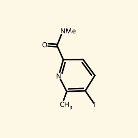 CNC(=O)c1ccc(I)c(C)n1